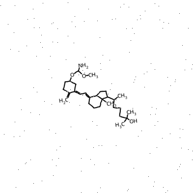 C=C1CCC(OC(N)OC)CC1=CC=C1CCCC2(C)C1CCC2C(C)CCCC(C)(C)O